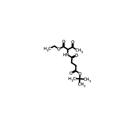 CCOC(=O)C(NC(=O)CCC(=O)OC(C)(C)C)C(C)=O